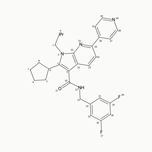 CC(C)Cn1c(C2CCCC2)c(C(=O)NCc2cc(F)cc(F)c2)c2ccc(-c3ccncc3)nc21